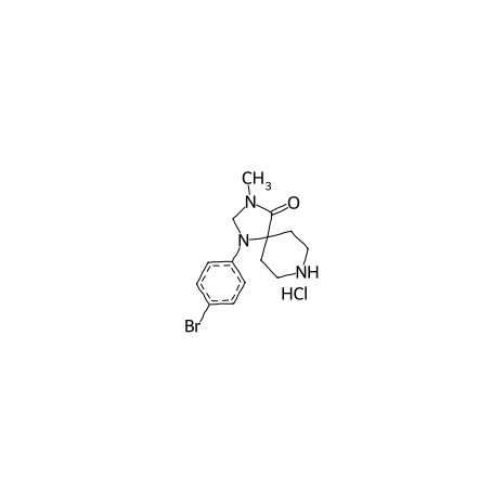 CN1CN(c2ccc(Br)cc2)C2(CCNCC2)C1=O.Cl